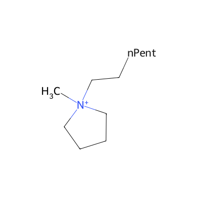 CCCCCCC[N+]1(C)CCCC1